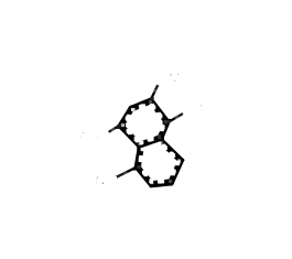 COc1cc(OC(C)=O)c2c(C#N)cccc2c1OC(C)=O